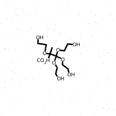 CC(OCCO)(C(=O)O)C(OCCO)(OCCO)OCCO